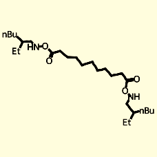 CCCCC(CC)CNOC(=O)CCCCCCCCCC(=O)ONCC(CC)CCCC